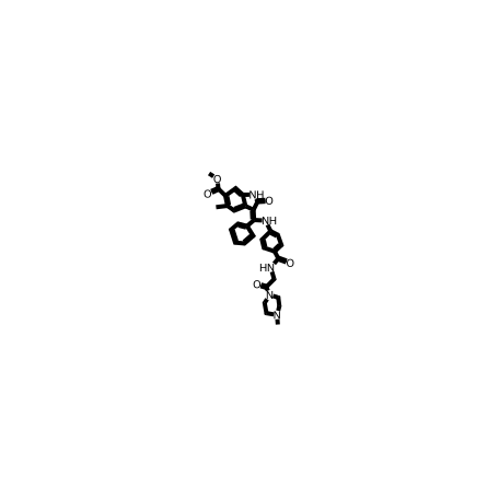 COC(=O)c1cc2c(cc1C)/C(=C(/Nc1ccc(C(=O)NCC(=O)N3CCN(C)CC3)cc1)c1ccccc1)C(=O)N2